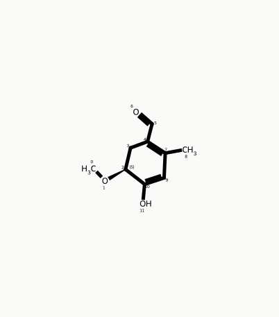 CO[C@H]1CC(C=O)=C(C)C=C1O